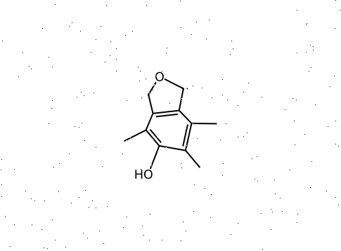 Cc1c(C)c2c(c(C)c1O)CO[CH]2